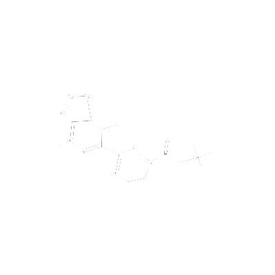 CC(C)(C)OC(=O)N1CCC=C(c2cc(Cl)c3cn[nH]c3c2F)C1